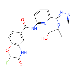 CC(CO)n1cnnc1-c1cccc(NC(=O)c2ccc3c(c2)NC(=O)C(F)O3)n1